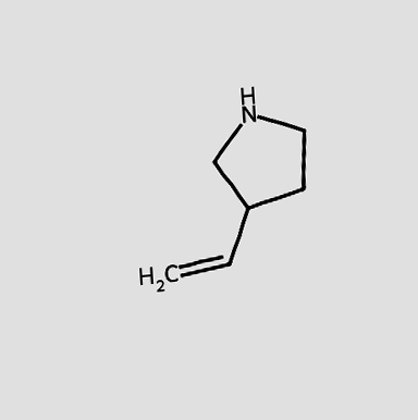 C=CC1CCNC1